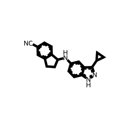 N#Cc1ccc2c(c1)CCC2Nc1ccc2[nH]nc(C3CC3)c2c1